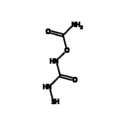 NC(=O)ONC(=O)NS